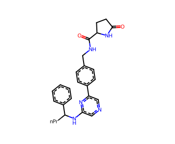 CCCC(Nc1cncc(-c2ccc(CNC(=O)C3CCC(=O)N3)cc2)n1)c1ccccc1